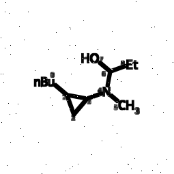 CCCCC1CC1N(C)C(O)CC